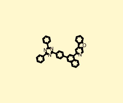 c1ccc(-c2nc(-c3ccccc3)nc(-c3ccc(-c4cc(-c5cc6c(cn5)oc5ccccc56)c5ccccc5c4)cc3)n2)cc1